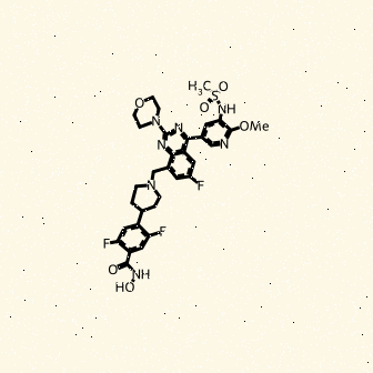 COc1ncc(-c2nc(N3CCOCC3)nc3c(CN4CCC(c5cc(F)c(C(=O)NO)cc5F)CC4)cc(F)cc23)cc1NS(C)(=O)=O